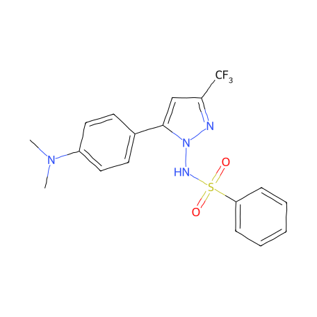 CN(C)c1ccc(-c2cc(C(F)(F)F)nn2NS(=O)(=O)c2ccccc2)cc1